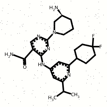 CC(C)c1cc(Nc2nc(N3CCC[C@H](N)C3)ncc2C(N)=O)cc(C2CCC(F)(F)CC2)n1